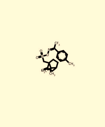 Cc1ccc(C(=NOS(=O)(=O)CC23CCC(CC2=O)C3(C)C)C(F)(F)F)cc1